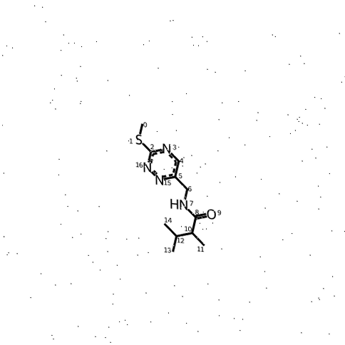 CSc1ncc(CNC(=O)C(C)C(C)C)nn1